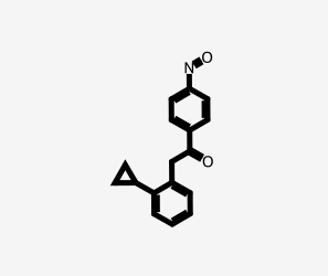 O=Nc1ccc(C(=O)Cc2ccccc2C2CC2)cc1